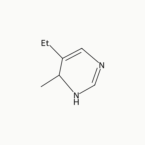 CCC1=CN=CNC1C